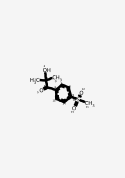 CC(C)(O)C(=O)c1ccc(S(C)(=O)=O)cc1